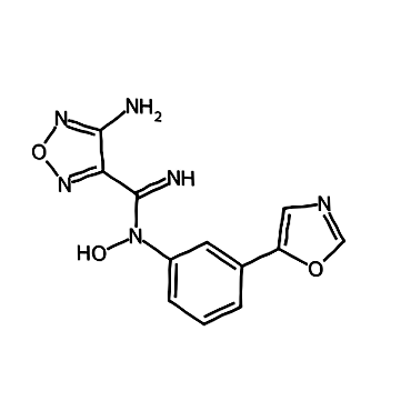 N=C(c1nonc1N)N(O)c1cccc(-c2cnco2)c1